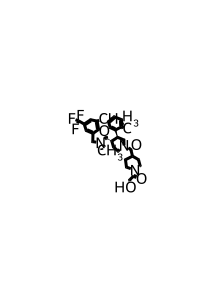 Cc1cc(CN(C)C(=O)[C@H]2CCN(C(=O)C3CCN(C(=O)CO)CC3)C[C@@H]2c2ccccc2C)cc(C(F)(F)F)c1